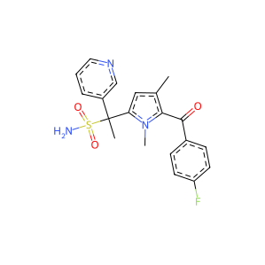 Cc1cc(C(C)(c2cccnc2)S(N)(=O)=O)n(C)c1C(=O)c1ccc(F)cc1